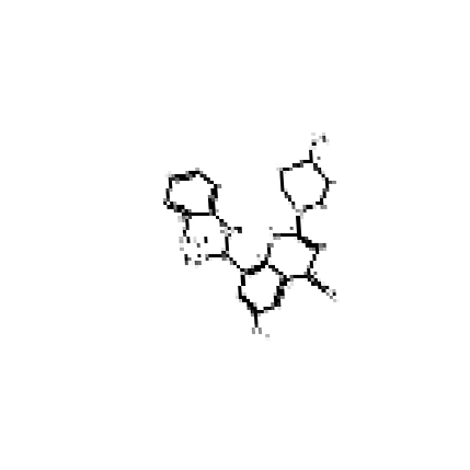 Cc1cc(C(C)Nc2ccccc2C(=O)O)c2oc(N3CCC(C)CC3)cc(=O)c2c1